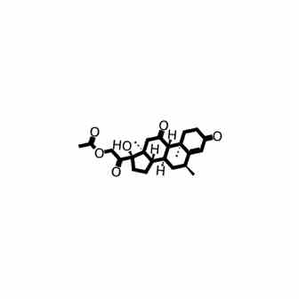 CC(=O)OCC(=O)[C@@]1(O)CC[C@H]2[C@@H]3C[C@H](C)C4=CC(=O)CC[C@]4(C)[C@H]3C(=O)C[C@@]21C